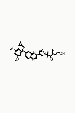 COc1cc(OC)cc(N(CC2CC2)c2ccc3ncc(-c4cnn(C(C)(C)C(=O)NCCO)c4)nc3c2)c1